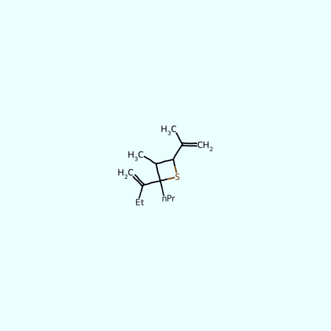 C=C(C)C1SC(CCC)(C(=C)CC)C1C